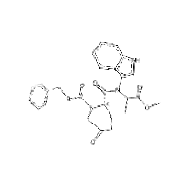 COC(=O)C(C)N(C(=O)[C@@H]1CCC(=O)CN1C(=O)OCc1ccccc1)c1c[nH]c2ccccc12